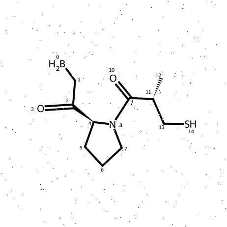 BCC(=O)[C@@H]1CCCN1C(=O)[C@H](C)CS